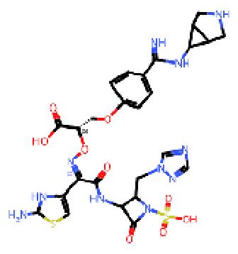 N=C(NC1C2CNCC21)c1ccc(OC[C@H](O/N=C(\C(=O)NC2C(=O)N(S(=O)(=O)O)C2Cn2cncn2)C2=CSC(N)N2)C(=O)O)cc1